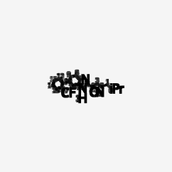 CC(C)Cc1cc(-c2nc3ccc(-c4ccccc4C(F)(F)F)cc3[nH]2)on1